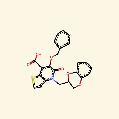 O=C(O)c1c(OCc2ccccc2)c(=O)n(CC2COc3ccccc3O2)c2ccsc12